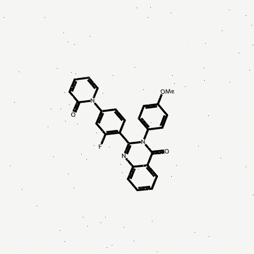 COc1ccc(-n2c(-c3ccc(-n4ccccc4=O)cc3F)nc3ccccc3c2=O)cc1